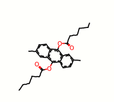 CCCCCC(=O)Oc1c2ccc(C)cc2c(OC(=O)CCCCC)c2ccc(C)cc12